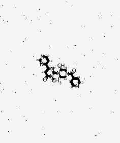 C[C@@H]1CN(C(=O)c2ccncc2)CCN1c1nc(-c2ccncn2)cc(=O)n1C